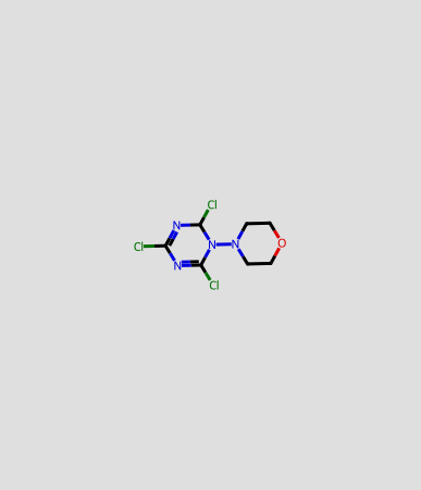 ClC1=NC(Cl)N(N2CCOCC2)C(Cl)=N1